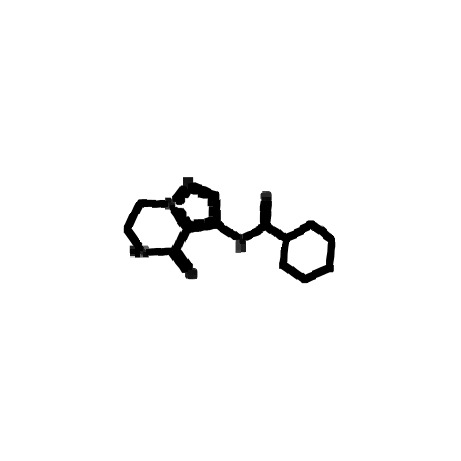 O=C1NCCn2ncc(NC(=O)C3CCCCC3)c21